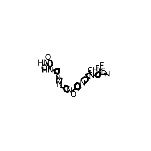 CC1CC2(CCN(c3ccc(C(=O)N4CCC(CN5CCN(c6cccc(NC7CCC(=O)NC7=O)c6)CC5)CC4)cc3)CC2)CN1c1ccc(C#N)c(C(F)(F)F)c1